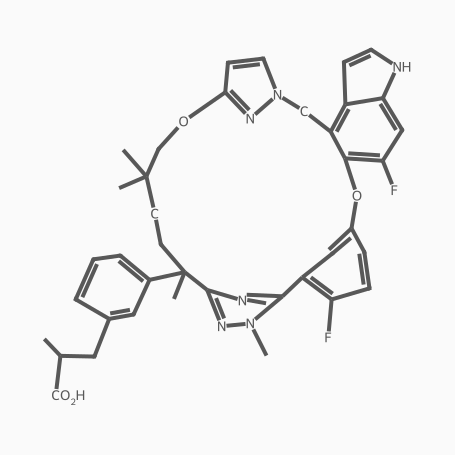 CC(Cc1cccc(C2(C)CCC(C)(C)COc3ccn(n3)Cc3c(c(F)cc4[nH]ccc34)Oc3ccc(F)c(c3)-c3nc2nn3C)c1)C(=O)O